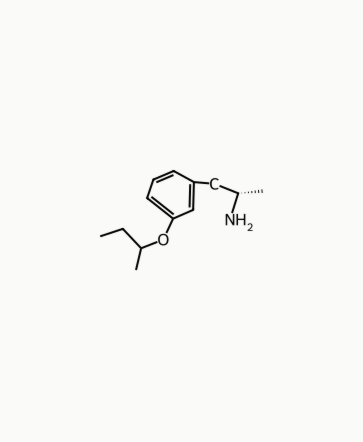 CCC(C)Oc1cccc(C[C@H](C)N)c1